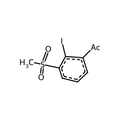 CC(=O)c1cccc(S(C)(=O)=O)c1I